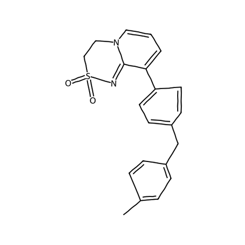 Cc1ccc(Cc2ccc(C3=CC=CN4CCS(=O)(=O)N=C34)cc2)cc1